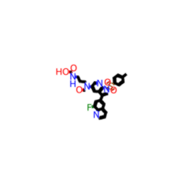 Cc1ccc(S(=O)(=O)n2cc(-c3cc(F)c4ncccc4c3)c3cc(N(C=O)CCCNC(=O)O)cnc32)cc1